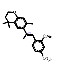 COc1cc(C(=O)O)ccc1/C=C(\C)c1cc2c(cc1C)OCCC2(C)C